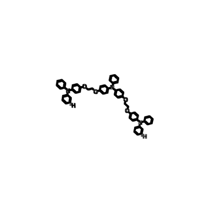 [3H]c1cccc(N(c2ccccc2)c2ccc(OCCOc3ccc(N(c4ccccc4)c4ccc(OCCOc5ccc(N(c6ccccc6)c6cccc([3H])c6)cc5)cc4)cc3)cc2)c1